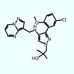 COc1ccc(Cl)cc1-c1nn(CC(C)(C)O)cc1NCc1cnn2cccnc12